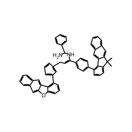 CC1(C)c2cc3ccccc3cc2-c2c(-c3ccc(/C(=C/Cc4cccc(-c5cccc6oc7cc8ccccc8cc7c56)c4)NC(N)c4ccccc4)cc3)cccc21